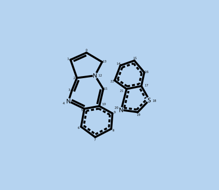 C1=CC2=CN=c3ccccc3=CN2C1.c1ccc2scnc2c1